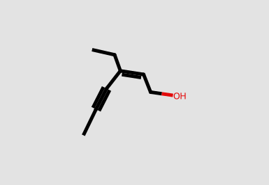 CC#C/C(=C\CO)CC